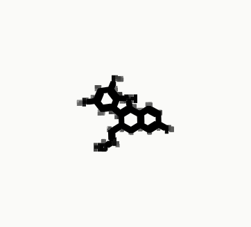 ON=CC1Cc2cc(F)ccc2-c2[nH]c3c(F)cc(F)cc3c21